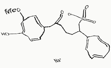 COc1cc(C(=O)CC(c2ccccc2)S(=O)(=O)[O-])ccc1O.[Na+]